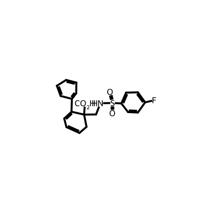 O=C(O)C1(CNS(=O)(=O)c2ccc(F)cc2)CC=CC=C1c1ccccc1